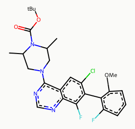 COc1cccc(F)c1-c1c(Cl)cc2c(N3CC(C)N(C(=O)OC(C)(C)C)C(C)C3)ncnc2c1F